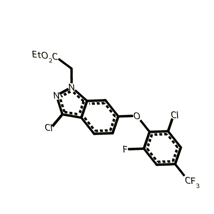 CCOC(=O)Cn1nc(Cl)c2ccc(Oc3c(F)cc(C(F)(F)F)cc3Cl)cc21